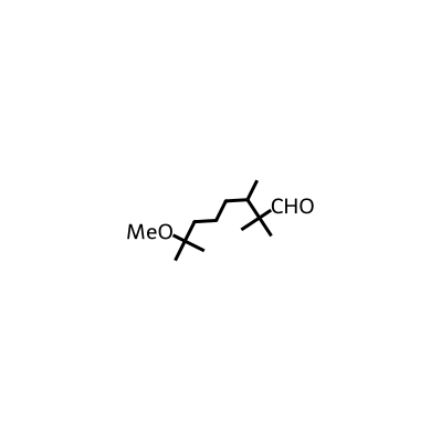 COC(C)(C)CCCC(C)C(C)(C)C=O